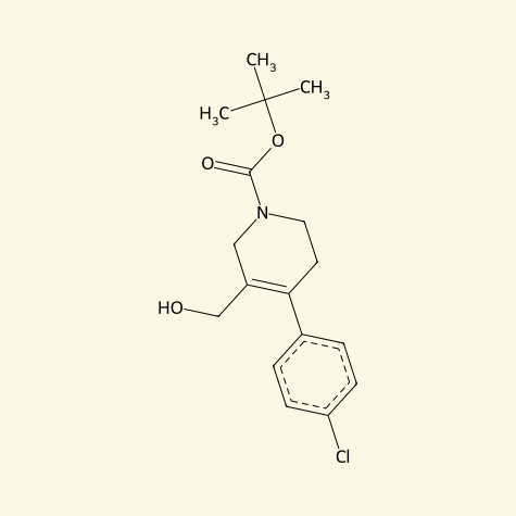 CC(C)(C)OC(=O)N1CCC(c2ccc(Cl)cc2)=C(CO)C1